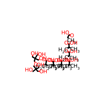 C=C(C)C(=O)O.C=C(C)C(=O)O.C=C(C)C(=O)O.C=C(C)C(=O)O.C=C(C)C(=O)O.C=C(C)C(=O)O.C=CC(=O)O.OCC(CO)(CO)COCC(CO)(CO)CO